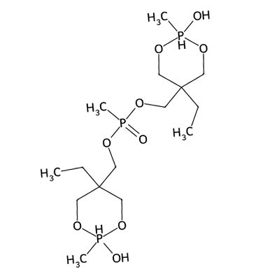 CCC1(COP(C)(=O)OCC2(CC)CO[PH](C)(O)OC2)CO[PH](C)(O)OC1